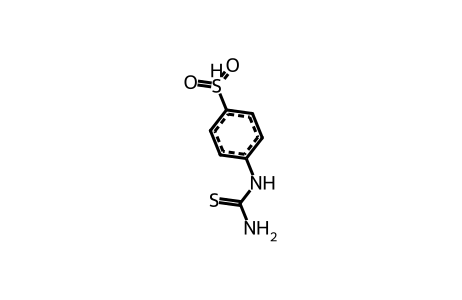 NC(=S)Nc1ccc([SH](=O)=O)cc1